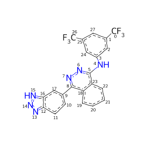 FC(F)(F)c1cc(Nc2nnc(-c3ccc4nn[nH]c4c3)c3ccccc23)cc(C(F)(F)F)c1